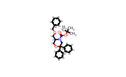 CC(C)(C)OC(=O)N1CC(c2ccccc2)(c2ccccc2)OCC1COCc1ccccc1